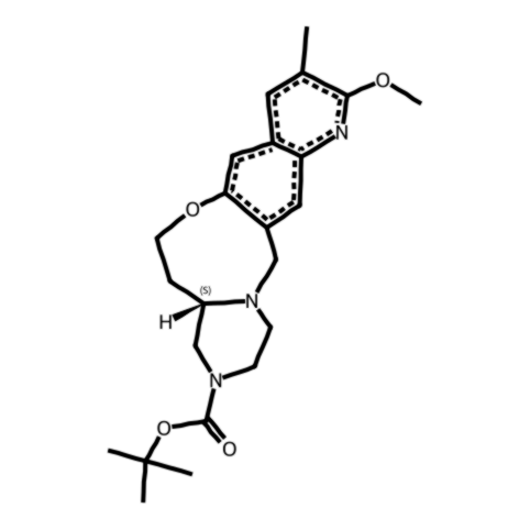 COc1nc2cc3c(cc2cc1C)OCC[C@H]1CN(C(=O)OC(C)(C)C)CCN1C3